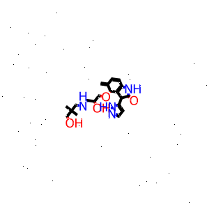 C=C1C=CC2=C(C1OCC(O)CNCC(C)(C)CO)C(c1ccn[nH]1)C(=O)N2